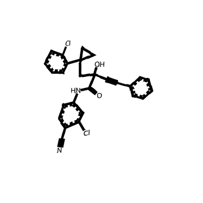 N#Cc1ccc(NC(=O)C(O)(C#Cc2ccccc2)CC2(c3ccccc3Cl)CC2)cc1Cl